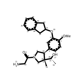 COc1ccc([C@@H]2CN(C(=O)CN)C[C@@]2(C)[C@@H](C)O)cc1OC1Cc2ccccc2C1